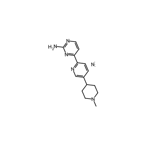 CN1CCC(c2ccc(-c3ccnc(N)n3)nc2)CC1.[N]